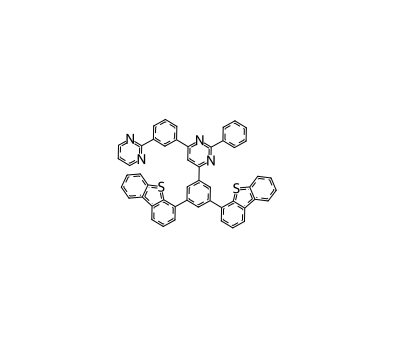 c1ccc(-c2nc(-c3cccc(-c4ncccn4)c3)cc(-c3cc(-c4cccc5c4sc4ccccc45)cc(-c4cccc5c4sc4ccccc45)c3)n2)cc1